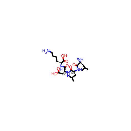 CN[C@@H](CC(C)C)C(=O)N[C@@H](CC(C)C)C(=O)N[C@@H](CC(=O)O)C(=O)N[C@@H](CCCCN)C(=O)O